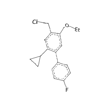 CCOc1cc(-c2ccc(F)cc2)c(C2CC2)cc1CCl